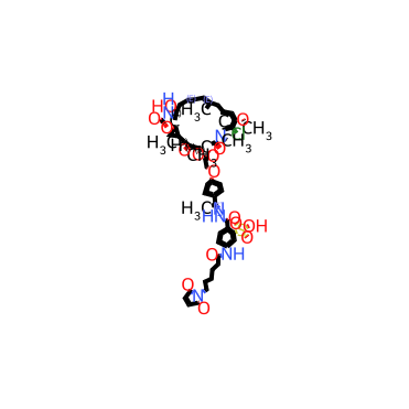 COc1cc2cc(c1Cl)N(C)C(=O)C[C@H](OC(=O)COc1ccc(/C(C)=N/NC(=O)c3ccc(NC(=O)CCCCCN4C(=O)C=CC4=O)cc3S(=O)(=O)O)cc1)[C@]1(C)O[C@H]1C1(C)CC13C[C@](O)(C/C=C/C=C(\C)C2)NC(=O)O3